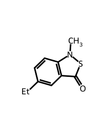 CCc1ccc2c(c1)c(=O)sn2C